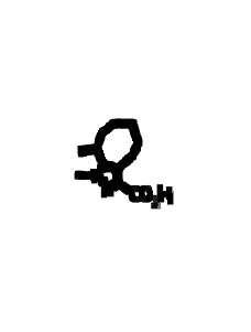 C=C1CCCCCc2c(C(=O)O)nn(C)c21